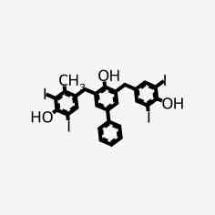 Cc1c(Cc2cc(-c3ccccc3)cc(Cc3cc(I)c(O)c(I)c3)c2O)cc(I)c(O)c1I